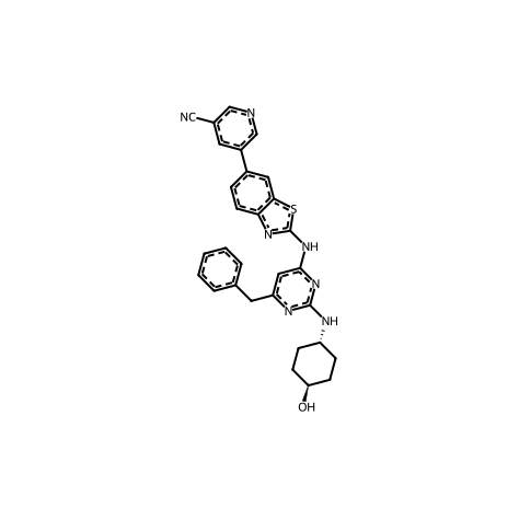 N#Cc1cncc(-c2ccc3nc(Nc4cc(Cc5ccccc5)nc(N[C@H]5CC[C@H](O)CC5)n4)sc3c2)c1